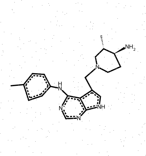 Cc1ccc(Nc2ncnc3[nH]cc(CN4CC[C@H](N)[C@@H](C)C4)c23)cc1